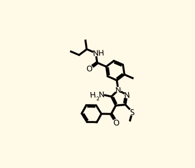 CCC(C)NC(=O)c1ccc(C)c(-n2nc(SC)c(C(=O)C3C=CC=CC3)c2N)c1